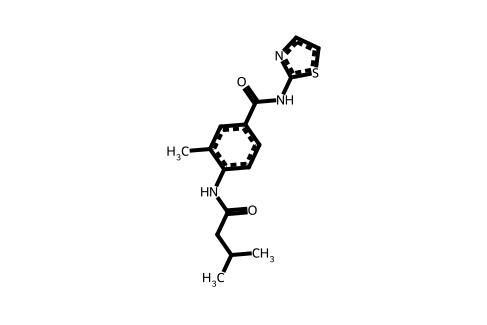 Cc1cc(C(=O)Nc2nccs2)ccc1NC(=O)CC(C)C